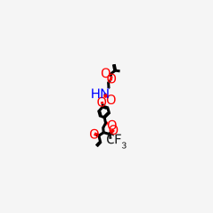 C=CC(=O)C(CC(=O)c1ccc(OC(=O)NCCOC(=O)C(=C)C)cc1)C(=O)C(F)(F)F